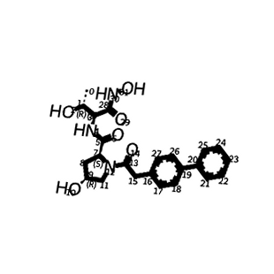 C[C@@H](O)[C@H](NC(=O)[C@@H]1C[C@@H](O)CN1C(=O)Cc1ccc(-c2ccccc2)cc1)C(=O)NO